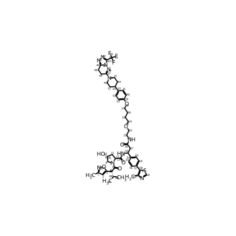 Cc1cc([C@H](C(=O)N2C[C@H](O)CC2C(=O)NC(CC(=O)NCCOCCCCOc2ccc(C3CCN(C4=Nn5c(nnc5C(F)(F)F)CC4)CC3)cc2)c2ccc(-c3scnc3C)cc2)C(C)C)on1